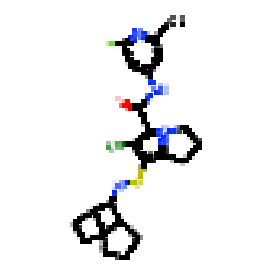 N#Cc1cc(NC(=O)c2c(Cl)c(SNC3C4CCCC45CCC35)c3n2CCC3)cc(F)n1